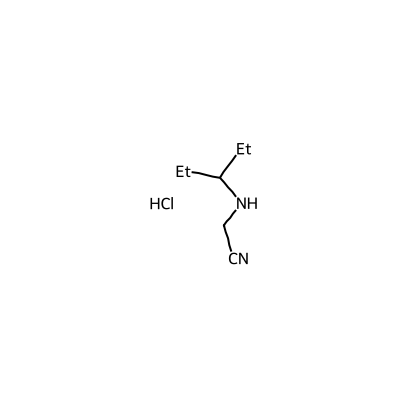 CCC(CC)NCC#N.Cl